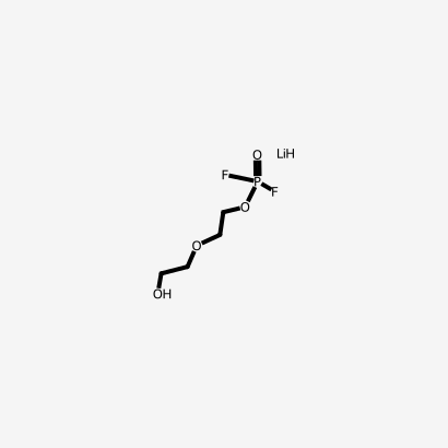 O=P(F)(F)OCCOCCO.[LiH]